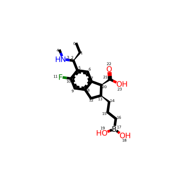 CC[C@H](NC)c1cc2c(cc1F)C[C@H](CCCB(O)O)[C@@H]2C(=O)O